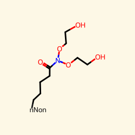 CCCCCCCCCCCCCC(=O)N(OCCO)OCCO